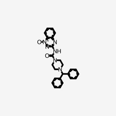 O=C(Nc1nc2ccccc2[n+]([O-])n1)N1CCN(C(c2ccccc2)c2ccccc2)CC1